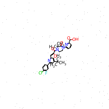 CC(C)(C)c1cc(-c2ccc(Cl)c(F)c2)nc2cc(C(=O)N3CCN(c4cccc(C(=O)O)n4)C(=O)C3(C)C)oc12